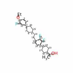 CCOc1ccc(C2CCC(CCc3ccc(C4CCC(C(C)O)CC4)c(F)c3F)CC2)cc1F